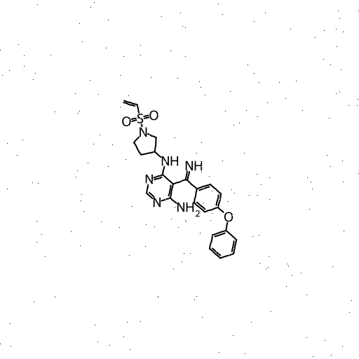 C=CS(=O)(=O)N1CCC(Nc2ncnc(N)c2C(=N)c2ccc(Oc3ccccc3)cc2)C1